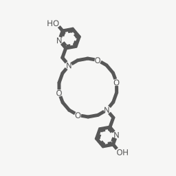 Oc1cccc(CN2CCOCCOCCN(Cc3cccc(O)n3)CCOCCOCC2)n1